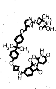 CC1(NC(=O)O)CN(c2nccc(COc3ccc(C(C)(C)c4ccc(OC5CC(Nc6ccc7c(c6)C(=O)N(C6CCC(=O)NC6=O)C7=O)C5)cc4)cc3)n2)C1